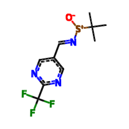 CC(C)(C)[S+]([O-])N=Cc1cnc(C(F)(F)F)nc1